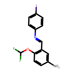 O=[N+]([O-])c1ccc(OC(F)F)c(/C=N/c2ccc(I)cc2)c1